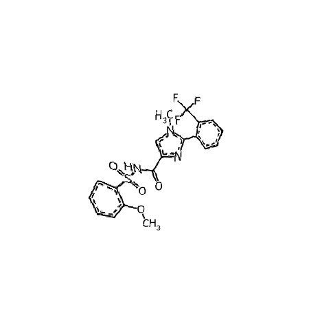 COc1ccccc1S(=O)(=O)NC(=O)c1cn(C)c(-c2ccccc2C(F)(F)F)n1